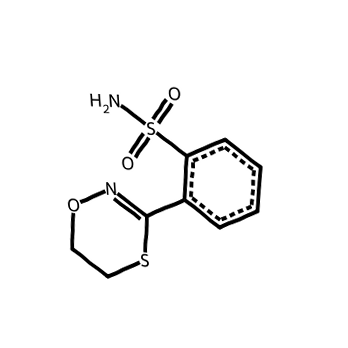 NS(=O)(=O)c1ccccc1C1=NOCCS1